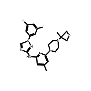 Cc1cc(Nc2ncn(-c3cc(F)cc(F)c3)n2)nc(N2CCN(C3(C)COC3)CC2)c1